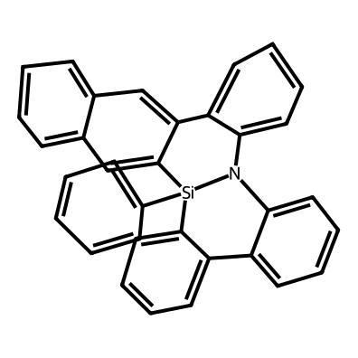 c1ccc([Si]23c4ccccc4-c4ccccc4N2c2ccccc2-c2cc4ccccc4cc23)cc1